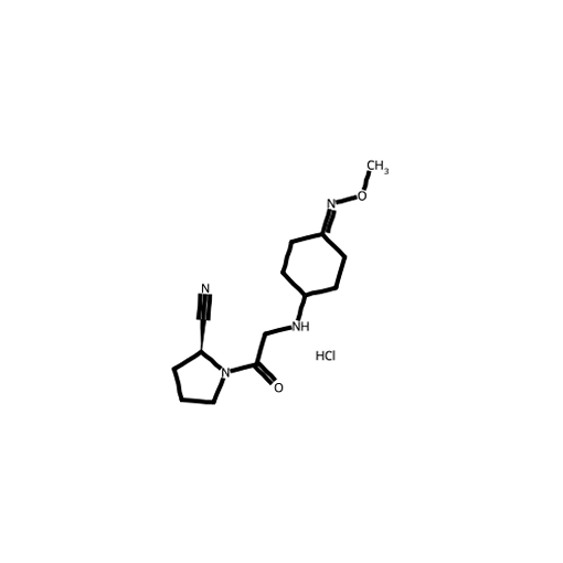 CON=C1CCC(NCC(=O)N2CCC[C@H]2C#N)CC1.Cl